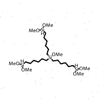 CO[SiH](CCCCCC[Si](CCCCCC[SiH](OC)OC)(CCCCCC[SiH](OC)OC)OC)OC